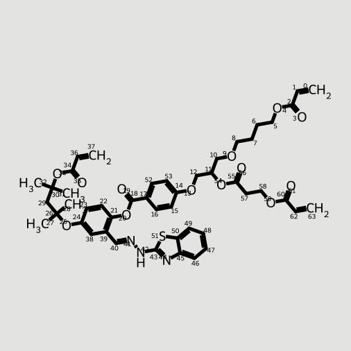 C=CC(=O)OCCCCOCC(COc1ccc(C(=O)Oc2ccc(OC(C)(C)CC(C)(C)OC(=O)C=C)cc2/C=N/Nc2nc3ccccc3s2)cc1)OC(=O)CCOC(=O)C=C